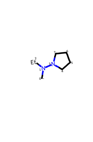 [CH2]N(CC)N1CCCC1